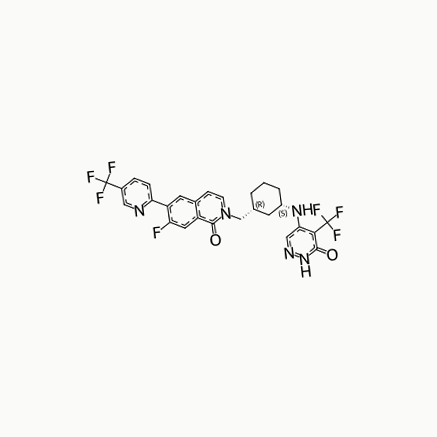 O=c1[nH]ncc(N[C@H]2CCC[C@@H](Cn3ccc4cc(-c5ccc(C(F)(F)F)cn5)c(F)cc4c3=O)C2)c1C(F)(F)F